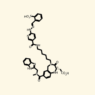 CN(Cc1nc2ccccc2[nH]1)C(=O)c1ccc2c(c1)CN(CCCCCCNC(=O)c1ccc(NN=Cc3ccccc3S(=O)(=O)O)nc1)C(=O)[C@H](CC(=O)O)N2